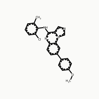 COc1ccc(-c2ccc3nc(Nc4c(C)cccc4Cl)c4cncn4c3c2)cc1